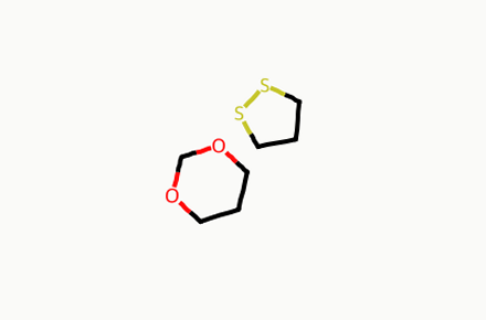 C1COCOC1.C1CSSC1